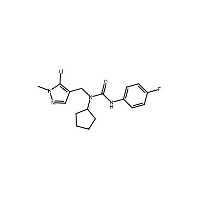 Cn1ncc(CN(C(=O)Nc2ccc(F)cc2)C2CCCC2)c1Cl